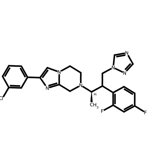 C[C@H](C(Cn1cncn1)c1ccc(F)cc1F)N1CCn2cc(-c3cccc(Cl)c3)nc2C1